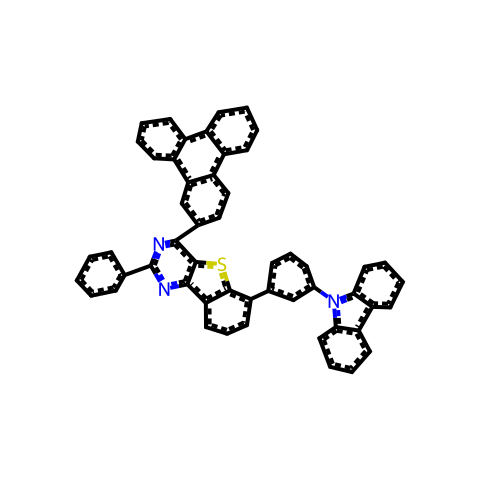 c1ccc(-c2nc(-c3ccc4c5ccccc5c5ccccc5c4c3)c3sc4c(-c5cccc(-n6c7ccccc7c7ccccc76)c5)cccc4c3n2)cc1